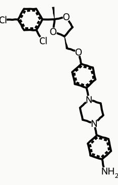 C[C@@]1(c2ccc(Cl)cc2Cl)OC[C@@H](COc2ccc(N3CCN(c4ccc(N)cc4)CC3)cc2)O1